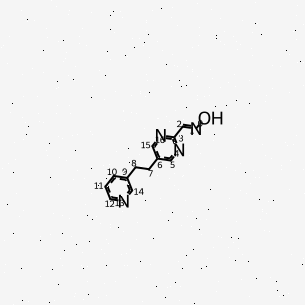 ON=Cc1ncc(CCc2cccnc2)cn1